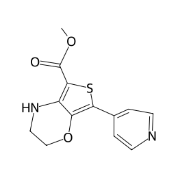 COC(=O)c1sc(-c2ccncc2)c2c1NCCO2